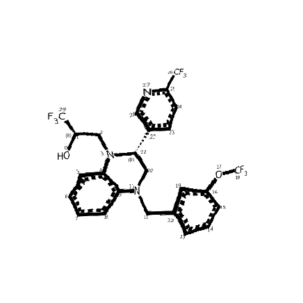 O[C@H](CN1c2ccccc2N(Cc2cccc(OC(F)(F)F)c2)C[C@H]1c1ccc(C(F)(F)F)nc1)C(F)(F)F